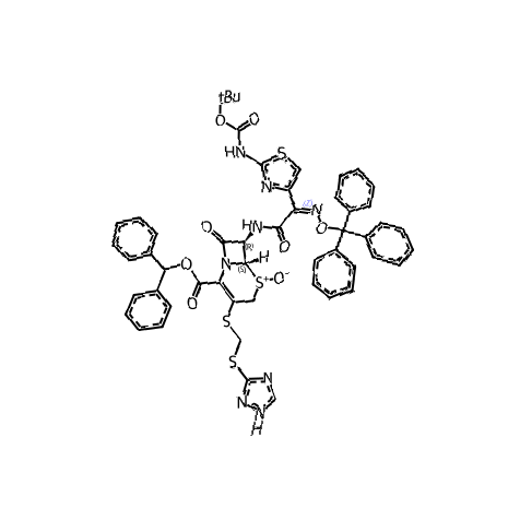 CC(C)(C)OC(=O)Nc1nc(/C(=N/OC(c2ccccc2)(c2ccccc2)c2ccccc2)C(=O)N[C@@H]2C(=O)N3C(C(=O)OC(c4ccccc4)c4ccccc4)=C(SCSc4nc[nH]n4)C[S+]([O-])[C@@H]23)cs1